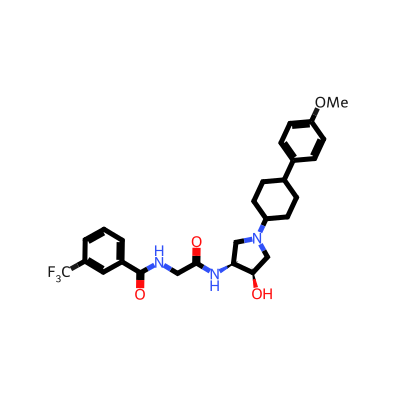 COc1ccc(C2CCC(N3C[C@@H](O)[C@@H](NC(=O)CNC(=O)c4cccc(C(F)(F)F)c4)C3)CC2)cc1